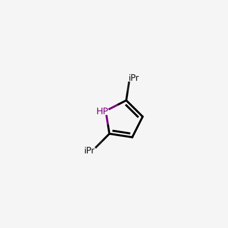 CC(C)c1ccc(C(C)C)[pH]1